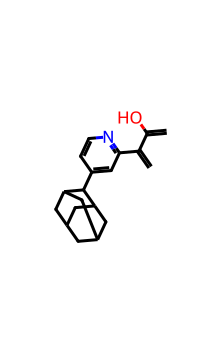 C=C(O)C(=C)c1cc(C2C3CC4CC(C3)CC2C4)ccn1